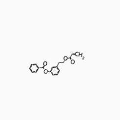 C=CC(=O)OCCc1cccc(OC(=O)c2ccccc2)c1